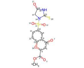 COC(=O)c1cc(=O)c2cc(S(=O)(=O)N3CC(=O)NC3=S)ccc2o1